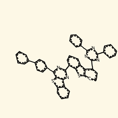 c1ccc(-c2ccc(-c3nc(-c4cccc5c4sc4cccc(-c6nc(-c7ccccc7)nc(-c7ccccc7)n6)c45)nc4c3sc3ccccc34)cc2)cc1